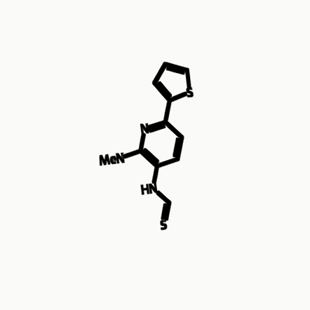 CNc1nc(-c2cccs2)ccc1NC=S